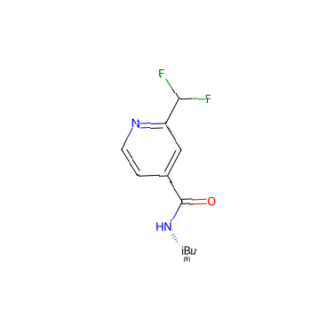 CC[C@@H](C)NC(=O)c1ccnc(C(F)F)c1